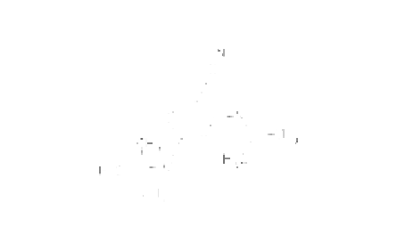 CC(C)Sc1cc(OC(C)(C)C)ccc1C#N